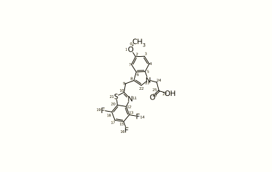 COc1ccc2c(c1)c(Cc1nc3c(F)c(F)cc(F)c3s1)cn2CC(=O)O